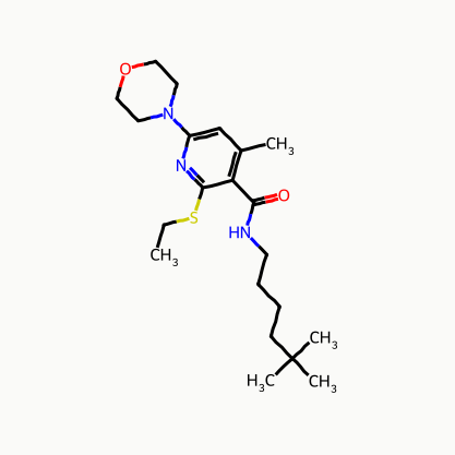 CCSc1nc(N2CCOCC2)cc(C)c1C(=O)NCCCCC(C)(C)C